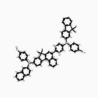 CC1(C)c2ccccc2-c2ccc(N(c3ccc(F)cc3)c3cnc(-c4cc5c(c6ccccc46)-c4ccc(N(c6ccc(F)cc6)c6ccc7ccccc7c6)cc4C5(C)C)nc3)cc21